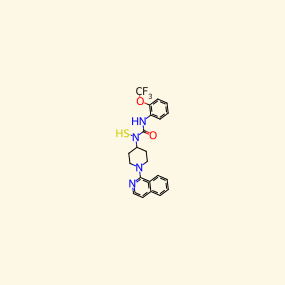 O=C(Nc1ccccc1OC(F)(F)F)N(S)C1CCN(c2nccc3ccccc23)CC1